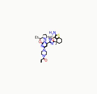 C=CC(=O)N1CCN(c2cc(-c3noc([C@@]4(C)CCCc5sc(N)c(C#N)c54)n3)nc(O[C@@H](CC)[C@@H]3CCCN3C)n2)CC1